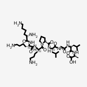 CC(C)C[C@H](NC(=O)CNC(=O)[C@H](CC(C)C)NC(=O)[C@@H]1CCCN1C(=O)[C@H](CCCCN)NC(=O)[C@H](CCCCN)NC(=O)[C@@H](N)CCCCN)C(=O)N[C@@H](C)C(=O)O